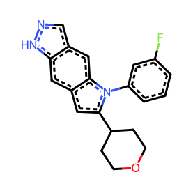 Fc1cccc(-n2c(C3CCOCC3)cc3cc4[nH]ncc4cc32)c1